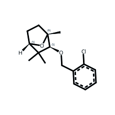 CC1(C)[C@@H]2CC[C@@](C)(O2)[C@H]1OCc1ccccc1Cl